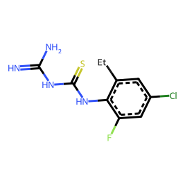 CCc1cc(Cl)cc(F)c1NC(=S)NC(=N)N